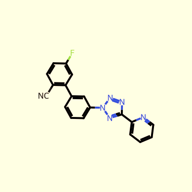 N#Cc1ccc(F)cc1-c1cccc(-n2nnc(-c3ccccn3)n2)c1